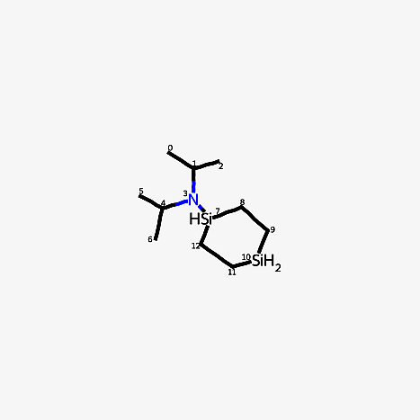 CC(C)N(C(C)C)[SiH]1CC[SiH2]CC1